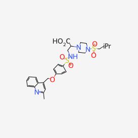 Cc1cc(COc2ccc(S(=O)(=O)NCC(C(=O)O)N3CCN(S(=O)(=O)CC(C)C)CC3)cc2)c2ccccc2n1